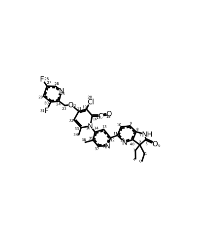 CCC1(CC)C(=O)Nc2ccc(-c3cc(N4C(=C=O)C(Cl)=C(OCc5ncc(F)cc5F)C=C4C)c(C)cn3)nc21